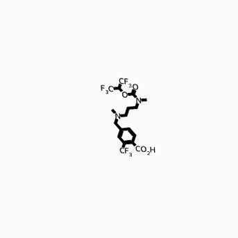 CN(CCCN(C)C(=O)OC(C(F)(F)F)C(F)(F)F)Cc1ccc(C(=O)O)c(C(F)(F)F)c1